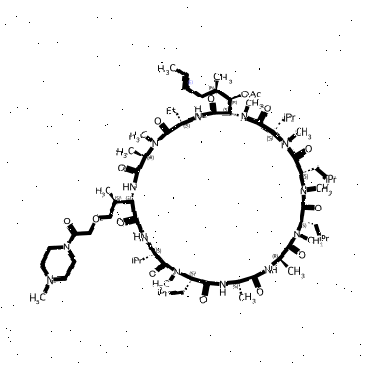 C/C=C/C[C@@H](C)[C@@H](OC(C)=O)[C@H]1C(=O)N[C@@H](CC)C(=O)N(C)[C@H](C)C(=O)N[C@@H]([C@H](C)COCC(=O)N2CCN(C)CC2)C(=O)N[C@@H](C(C)C)C(=O)N(C)[C@@H](CC(C)C)C(=O)N[C@@H](C)C(=O)N[C@H](C)C(=O)N(C)[C@@H](CC(C)C)C(=O)N(C)[C@@H](CC(C)C)C(=O)N(C)[C@@H](C(C)C)C(=O)N1C